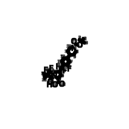 CC(C)(C)OC(=O)N1CCC(c2ccc(C(F)(F)C3C[C@@H](C(=O)O)N(C(=O)C4(C(F)(F)F)CC4)C3)c(F)c2)CC1